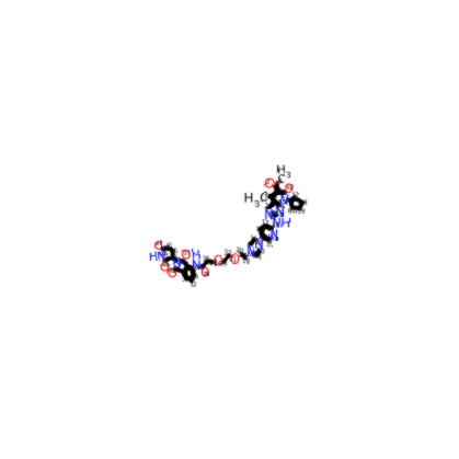 CC(=O)c1c(C)c2cnc(Nc3ccc(N4CCN(CCOCCOCCC(=O)Nc5cccc6c5C(=O)N(C5CCC(=O)NC5=O)C6=O)CC4)cn3)nc2n(C2CCCC2)c1=O